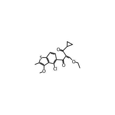 CCO/C=C(\C(=O)c1ccc2sc(C)c(OC)c2c1Cl)C(=O)C1CC1